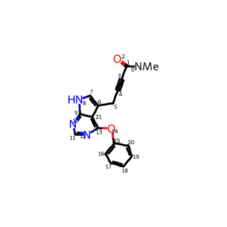 CNC(=O)C#CCc1c[nH]c2ncnc(Oc3ccccc3)c12